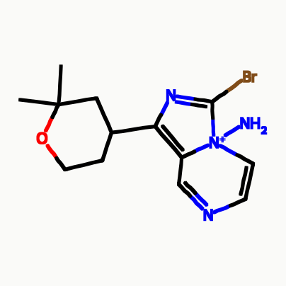 CC1(C)CC(C2=C3C=NC=C[N+]3(N)C(Br)=N2)CCO1